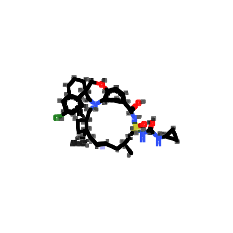 CO[C@H]1/C=C/C[C@H](C)C[S@@](=O)(NC(=O)NC2CC2)=NC(=O)c2ccc3c(c2)N(C[C@@H]2CC[C@H]21)C[C@@]1(CCCc2cc(Cl)ccc21)CO3